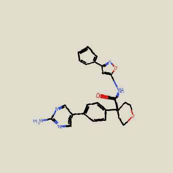 Nc1ncc(-c2ccc(C3(C(=O)Nc4cc(-c5ccccc5)no4)CCOCC3)cc2)cn1